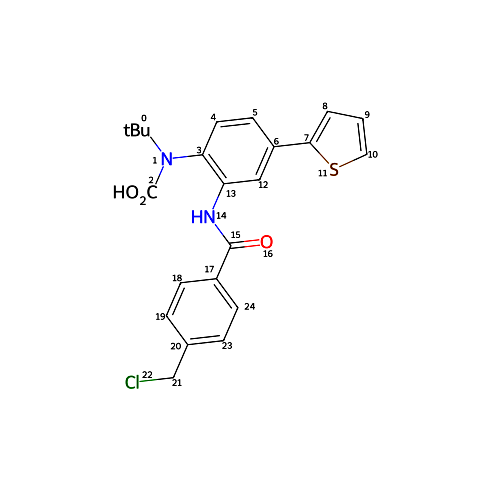 CC(C)(C)N(C(=O)O)c1ccc(-c2cccs2)cc1NC(=O)c1ccc(CCl)cc1